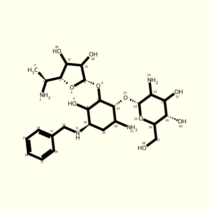 C[C@H](N)[C@H]1O[C@@H](OC2C(O)[C@H](NCc3ccccc3)CC(N)[C@H]2O[C@H]2OC(CO)[C@@H](O)C(O)C2N)C(O)C1O